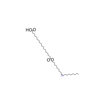 CCCCCCCC/C=C\CCCCCCCCOC(=O)CCCCCCCCCCCCCCCCC(=O)O